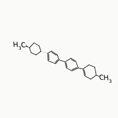 CC1CC=C(c2ccc(-c3ccc([C@H]4CC[C@H](C)CC4)cc3)cc2)CC1